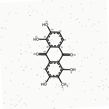 Cc1c(O)cc2c(c1O)C(=O)c1ccc(O)c(O)c1C2=O